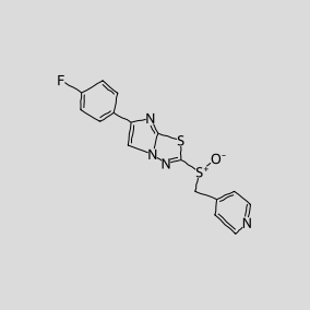 [O-][S+](Cc1ccncc1)c1nn2cc(-c3ccc(F)cc3)nc2s1